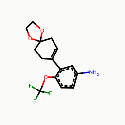 Nc1ccc(OC(F)(F)F)c(C2=CCC3(CC2)OCCO3)c1